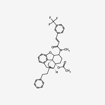 CC(=O)O[C@@]12CCC(N(C)C(=O)/C=C/c3cccc(C(F)(F)F)c3)C3Oc4cccc5c4[C@@]31CCN(CCc1ccccc1)[C@@H]2C5